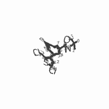 CC1(C)COC(c2cccc(-c3cc(Cl)sc3Cl)c2)=N1